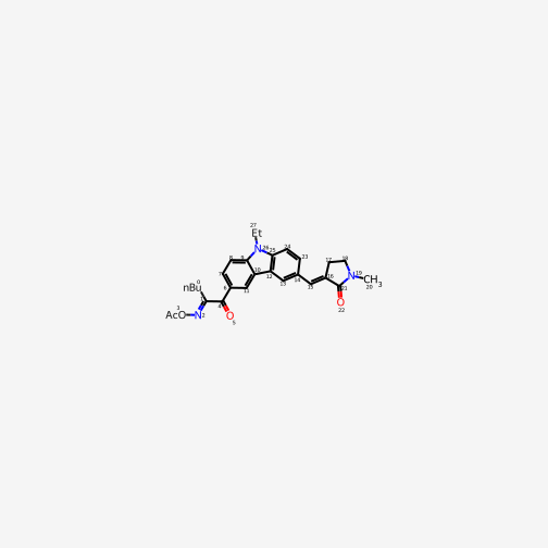 CCCC/C(=N\OC(C)=O)C(=O)c1ccc2c(c1)c1cc(/C=C3\CCN(C)C3=O)ccc1n2CC